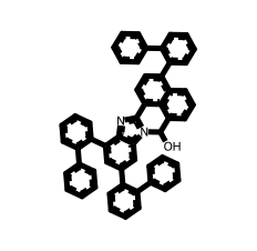 OC1c2cccc3c(-c4ccccc4-c4ccccc4)ccc(c23)-c2nc3c(-c4ccccc4-c4ccccc4)cc(-c4ccccc4-c4ccccc4)cc3n21